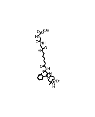 CCOCc1nc2c(NC(=O)CCCCCNC(=O)CNC(=O)CNC(=O)OC(C)(C)C)nc3ccccc3c2n1CC(C)(C)O